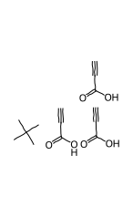 C#CC(=O)O.C#CC(=O)O.C#CC(=O)O.CC(C)(C)C